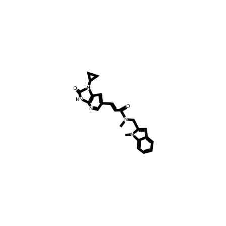 CN(Cc1cc2ccccc2n1C)C(=O)C=Cc1cnc2[nH]c(=O)n(C3CC3)c2c1